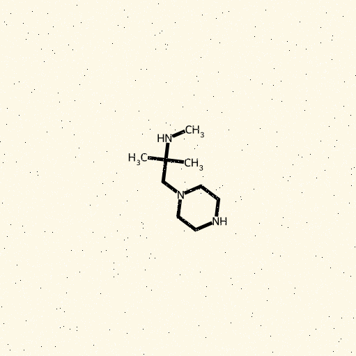 CNC(C)(C)CN1CCNCC1